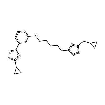 c1cc(NCCCCCc2nc(CC3CC3)no2)cc(-c2nc(C3CC3)no2)c1